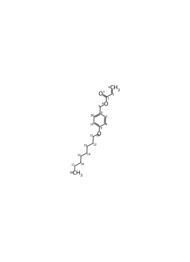 C=CC(=O)OCc1ccc(OCCCCCCCC)cc1